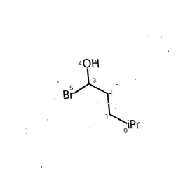 CC(C)CCC(O)Br